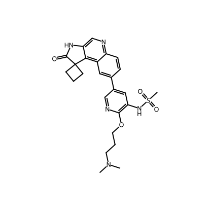 CN(C)CCCOc1ncc(-c2ccc3ncc4c(c3c2)C2(CCC2)C(=O)N4)cc1NS(C)(=O)=O